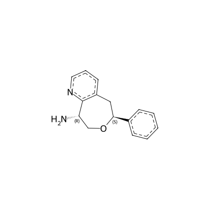 N[C@H]1CO[C@H](c2ccccc2)Cc2cccnc21